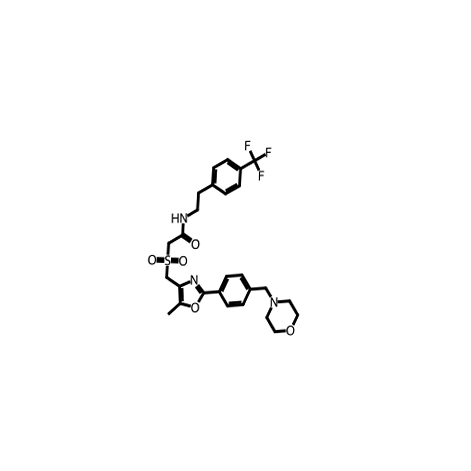 Cc1oc(-c2ccc(CN3CCOCC3)cc2)nc1CS(=O)(=O)CC(=O)NCCc1ccc(C(F)(F)F)cc1